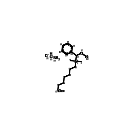 CCCCCCCCCCCCCCCC[N+](C)(C)C(OCC)c1ccccc1.Cl.N.[Cl-]